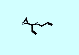 C=CCOC(C=C)C1CO1